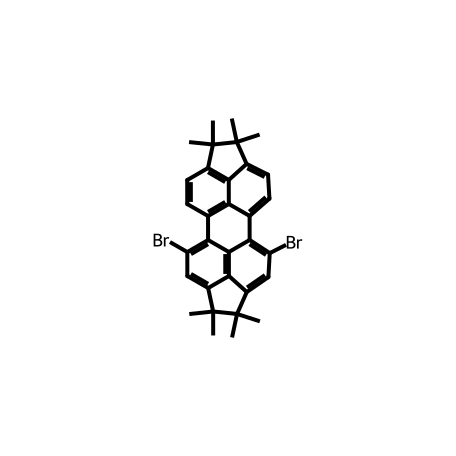 CC1(C)c2ccc3c4c(Br)cc5c6c(cc(Br)c(c7ccc(c2c37)C1(C)C)c64)C(C)(C)C5(C)C